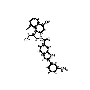 Cc1cccc2c(O)cc3c(c12)C(CCl)CN3C(=O)c1ccc2cc(-c3cccc(N)c3)[nH]c2c1